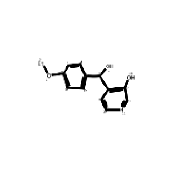 CCOc1ccc(C(O)c2ccncc2O)cc1